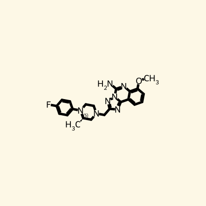 COc1cccc2c1nc(N)n1nc(CN3CCN(c4ccc(F)cc4)[C@@H](C)C3)nc21